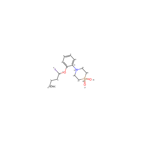 CCCCCCCCCCCCC(I)Oc1ccccc1N1CCS(=O)(=O)CC1